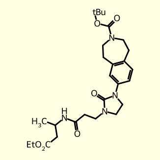 CCOC(=O)CC(C)NC(=O)CCN1CCN(c2ccc3c(c2)CCN(C(=O)OC(C)(C)C)CC3)C1=O